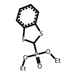 CCOP(=O)(OCC)C1Sc2ccccc2S1